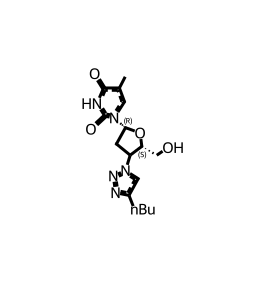 CCCCc1cn(C2C[C@H](n3cc(C)c(=O)[nH]c3=O)O[C@@H]2CO)nn1